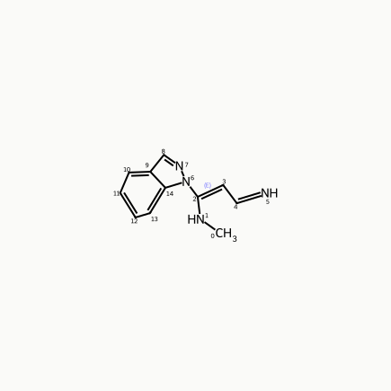 CN/C(=C\C=N)n1ncc2ccccc21